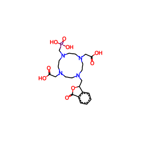 O=C(O)CN1CCN(CC2OC(=O)c3ccccc32)CCN(CC(=O)O)CCN(CP(=O)(O)O)CC1